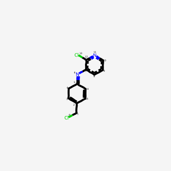 ClCC1=CCC(=Nc2cccnc2Cl)C=C1